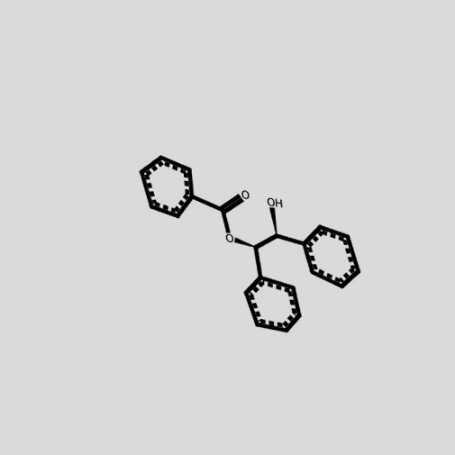 O=C(O[C@H](c1ccccc1)[C@@H](O)c1ccccc1)c1ccccc1